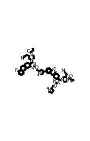 C=CC(=O)N1CCN(c2nc(OCC3CC(c4ccc5c(c4)CC4(CCc6c(nc(OCC7CCCN7C)nc6N6CCN(C(=O)C(=C)F)C(CC#N)C6)C4)CN5C)CN3C)nc3c2CCC2(CCc4c(F)cccc4C2)C3)CC1CC#N